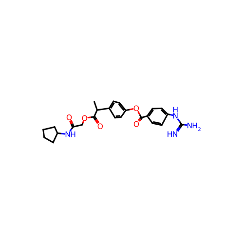 CC(C(=O)OCC(=O)NC1CCCC1)c1ccc(OC(=O)c2ccc(NC(=N)N)cc2)cc1